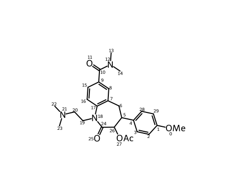 COc1ccc(C2Cc3cc(C(=O)N(C)C)ccc3N(CCN(C)C)C(=O)C2OC(C)=O)cc1